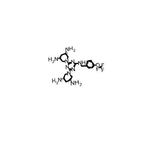 N[C@@H]1C[C@H](N)CN(c2nc(NCc3ccc(OC(F)(F)F)cc3)nc(N3C[C@H](N)C[C@H](N)C3)n2)C1